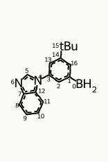 Bc1cc(-n2cnc3ccccc32)cc(C(C)(C)C)c1